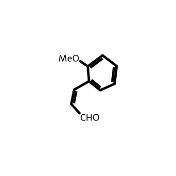 COc1ccccc1/C=C\C=O